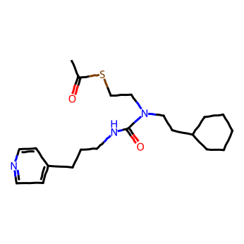 CC(=O)SCCN(CCC1CCCCC1)C(=O)NCCCc1ccncc1